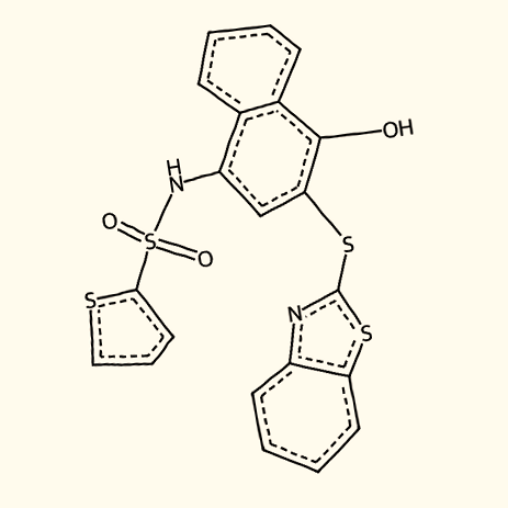 O=S(=O)(Nc1cc(Sc2nc3ccccc3s2)c(O)c2ccccc12)c1cccs1